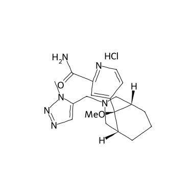 CO[C@]1(c2ccnc(C(N)=O)c2)[C@@H]2CCC[C@H]1CN(Cc1cnnn1C)C2.Cl